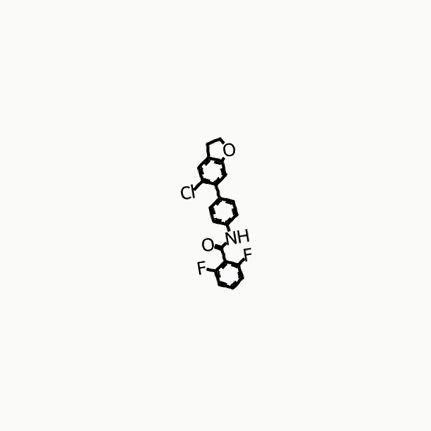 O=C(Nc1ccc(-c2cc3c(cc2Cl)CCO3)cc1)c1c(F)cccc1F